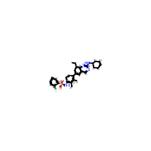 CCc1cc(-c2ccc(NS(=O)(=O)c3ccccc3Cl)c(C)c2C)cc2cnc(NC3CCCCC3)nc12